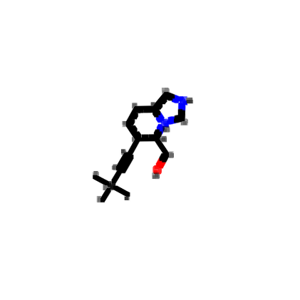 C[Si](C)(C)C#Cc1ccc2cncn2c1C=O